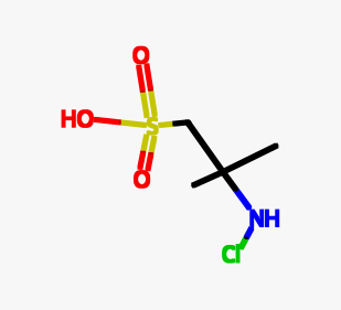 CC(C)(CS(=O)(=O)O)NCl